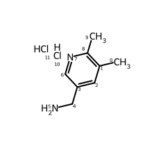 Cc1cc(CN)cnc1C.Cl.Cl